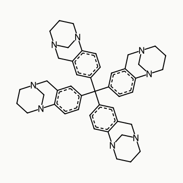 c1cc2c(cc1C(c1ccc3c(c1)CN1CCCN3C1)(c1ccc3c(c1)CN1CCCN3C1)c1ccc3c(c1)CN1CCCN3C1)CN1CCCN2C1